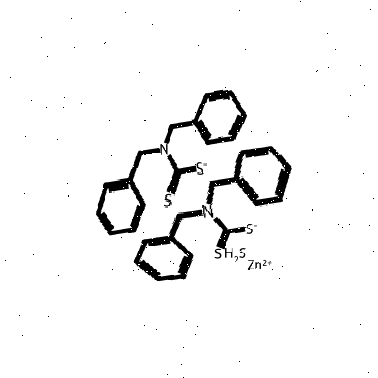 S.S=C([S-])N(Cc1ccccc1)Cc1ccccc1.S=C([S-])N(Cc1ccccc1)Cc1ccccc1.[Zn+2]